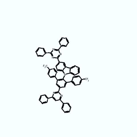 FC(F)(F)c1ccc(-c2cc(-c3nc(-c4ccccc4)cc(-c4ccccc4)n3)cc(-c3ccc(C(F)(F)F)cc3)c2-n2c3ccccc3c3cc(-c4nc(-c5ccccc5)nc(-c5ccccc5)n4)ccc32)cc1